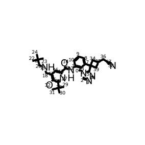 Cn1cnnc1C1(c2cccc(NC(=O)c3cc(CNCC(C)(C)C)c4c(n3)C(C)(C)CO4)c2)CC(CC#N)C1